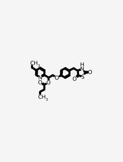 CCCC(=O)OC(COc1ccc(CC2NC(=O)SC2=O)cc1)c1ccc(CC)cn1